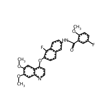 COc1cc2nccc(Oc3ccc4cc(NC(=O)c5cc(F)ccc5OC)ccc4c3F)c2cc1OC